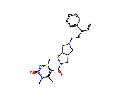 C=C[C@@H](CCN1CC2CN(C(=O)c3c(C)nc(=O)n(C)c3C)CC2C1)c1ccccc1